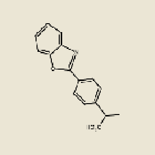 CC(C(=O)O)c1ccc(-c2nc3ccccc3o2)cc1